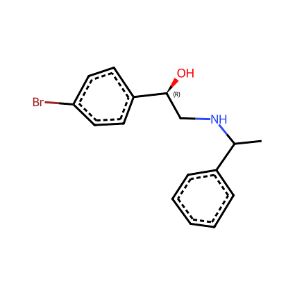 CC(NC[C@H](O)c1ccc(Br)cc1)c1ccccc1